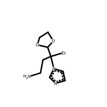 CCC(CCN)(C1OCCO1)n1ccnc1